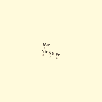 [Fe].[Mn].[Na].[Na]